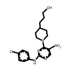 O=[N+]([O-])c1cnc(Nc2ccc(Cl)cc2)nc1N1CCC(CCCO)CC1